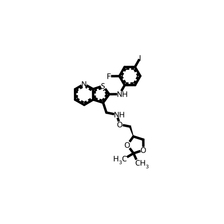 CC1(C)OC[C@H](CONCc2c(Nc3ccc(I)cc3F)sc3ncccc23)O1